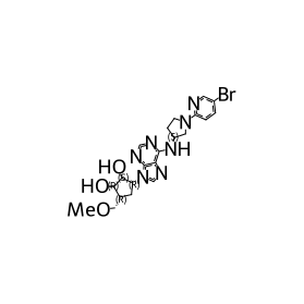 COC[C@H]1C[C@@H](n2cnc3c(N[C@H]4CCN(c5ccc(Br)cn5)C4)ncnc32)[C@H](O)[C@@H]1O